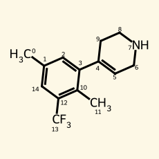 Cc1cc(C2=CCNCC2)c(C)c(C(F)(F)F)c1